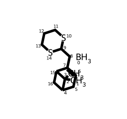 B.CC1(C)C2CC=C(CC3SCCCS3)C1C2